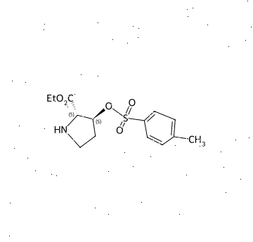 CCOC(=O)[C@H]1NCC[C@@H]1OS(=O)(=O)c1ccc(C)cc1